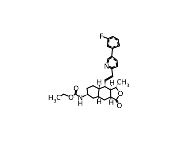 CCOC(=O)N[C@H]1CC[C@H]2[C@H](C1)C[C@H]1C(=O)O[C@@H](C)[C@@H]1[C@@H]2/C=C/c1ccc(-c2cccc(F)c2)cn1